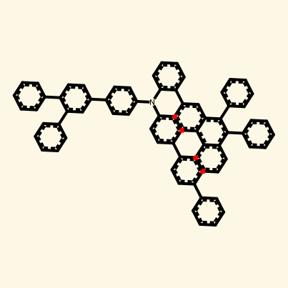 c1ccc(-c2ccc(-c3ccc(N(c4ccc(-c5ccc(-c6ccccc6)c(-c6ccccc6)c5)cc4)c4ccccc4-c4ccc5c(c4)c(-c4ccccc4)c(-c4ccccc4)c4ccccc45)cc3)cc2)cc1